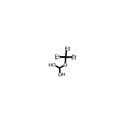 CCC(CC)(CC)OC(O)O